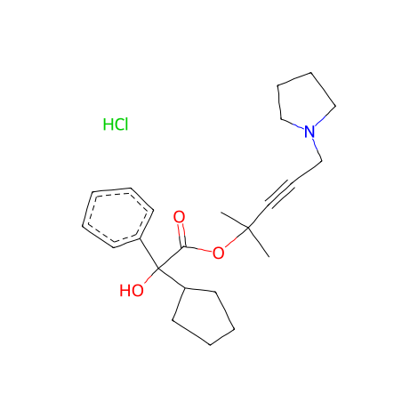 CC(C)(C#CCN1CCCC1)OC(=O)C(O)(c1ccccc1)C1CCCC1.Cl